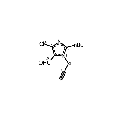 C#CCn1c(CCCC)nc(Cl)c1C=O